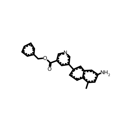 Cc1cc(N)cc2cc(-c3cncc(C(=O)OCc4ccccc4)c3)ccc12